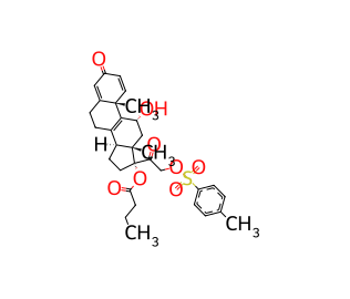 CCCC(=O)O[C@]1(C(=O)COS(=O)(=O)c2ccc(C)cc2)CC[C@H]2C3=C([C@H](O)C[C@@]21C)[C@@]1(C)C=CC(=O)C=C1CC3